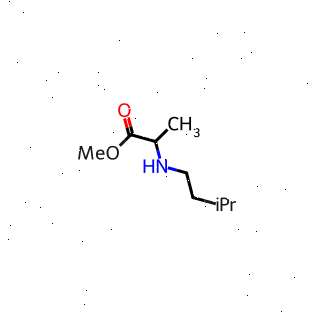 COC(=O)C(C)NCCC(C)C